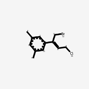 Cc1cc(C)cc(C(=CCCl)CBr)c1